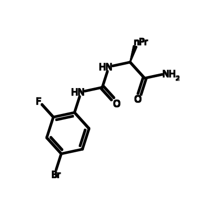 CCC[C@H](NC(=O)Nc1ccc(Br)cc1F)C(N)=O